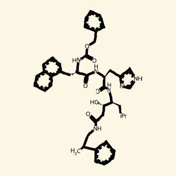 CC(C)C[C@H](NC(=O)[C@H](Cc1c[nH]cn1)NC(=O)[C@H](Cc1cccc2ccccc12)NC(=O)OCc1ccccc1)[C@@H](O)CC(=O)NCC(C)c1ccccc1